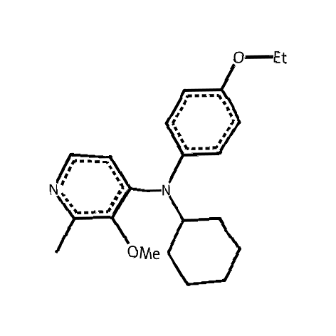 CCOc1ccc(N(c2ccnc(C)c2OC)C2CCCCC2)cc1